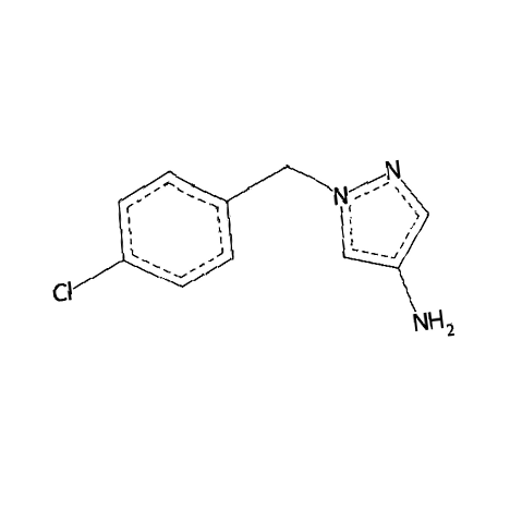 Nc1cnn(Cc2ccc(Cl)cc2)c1